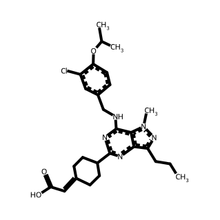 CCCc1nn(C)c2c(NCc3ccc(OC(C)C)c(Cl)c3)nc(C3CCC(=CC(=O)O)CC3)nc12